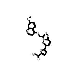 COc1ccc2c(OCc3nnc4ccc(-c5ccc(C(N)=O)s5)nn34)ccnc2c1